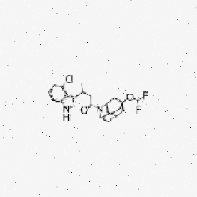 CC(CC(=O)N1C2CC3CC1CC(OC(F)F)(C3)C2)c1c[nH]c2cccc(Cl)c12